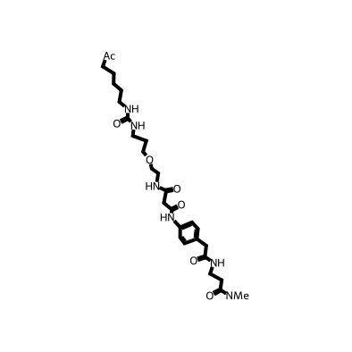 CNC(=O)CCNC(=O)Cc1ccc(NC(=O)CC(=O)NCCOCCCNC(=O)NCCCCCC(C)=O)cc1